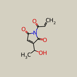 C=CC(=O)N1C(=O)C=C(C(C)O)C1=O